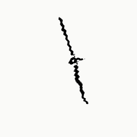 [CH2]CCc1c(SCCCCCCCCCCCCCCC)cccc1SCCCCCCCCCCCCCCC